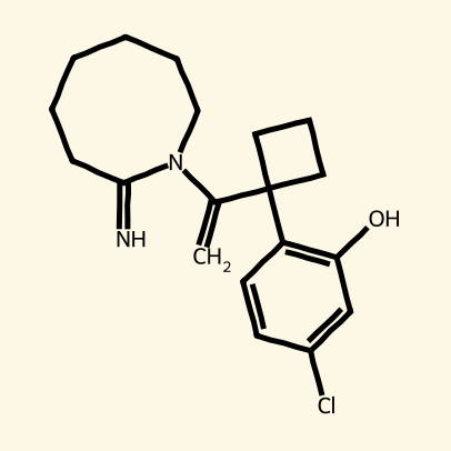 C=C(N1CCCCCCC1=N)C1(c2ccc(Cl)cc2O)CCC1